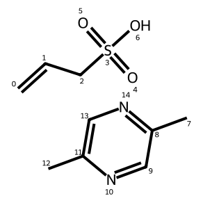 C=CCS(=O)(=O)O.Cc1cnc(C)cn1